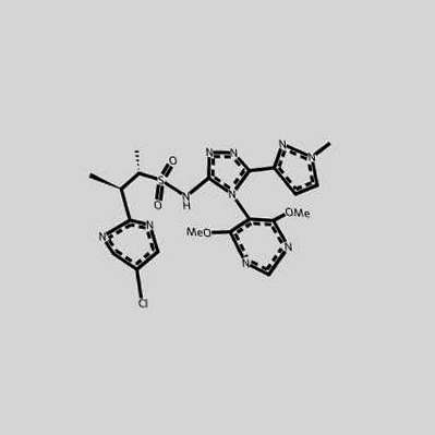 COc1ncnc(OC)c1-n1c(NS(=O)(=O)[C@@H](C)[C@H](C)c2ncc(Cl)cn2)nnc1-c1ccn(C)n1